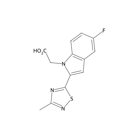 Cc1nsc(-c2cc3cc(F)ccc3n2CC(=O)O)n1